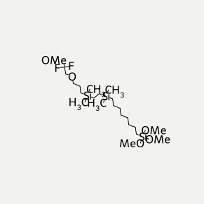 COC(F)(F)COCCC[Si](C)(C)CC[Si](C)(C)CCCCCCCC[Si](OC)(OC)OC